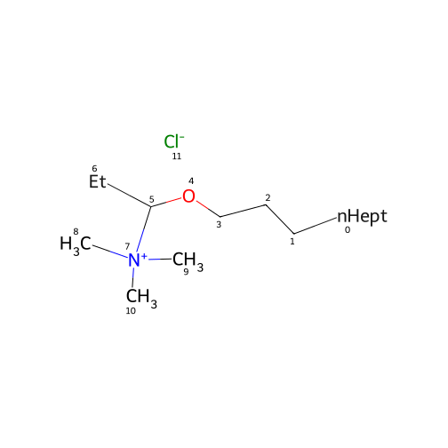 CCCCCCCCCCOC(CC)[N+](C)(C)C.[Cl-]